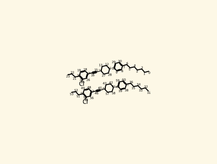 CCCCCCCc1ccc([C@H]2CC[C@H](C#Cc3ccc(CCC)c(Cl)c3)CC2)cc1.CCCCCCc1ccc([C@H]2CC[C@H](C#Cc3ccc(CCC)c(Cl)c3)CC2)cc1